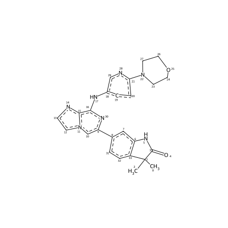 CC1(C)C(=O)Nc2cc(-c3cn4ccnc4c(Nc4ccc(N5CCOCC5)nc4)n3)ccc21